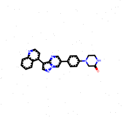 O=C1CN(c2ccc(-c3cnc4c(-c5ccnc6ccccc56)cnn4c3)cc2)CCN1